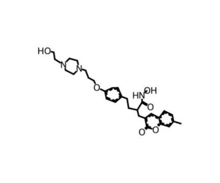 Cc1ccc2cc(CC(CCc3ccc(OCCCN4CCN(CCO)CC4)cc3)C(=O)NO)c(=O)oc2c1